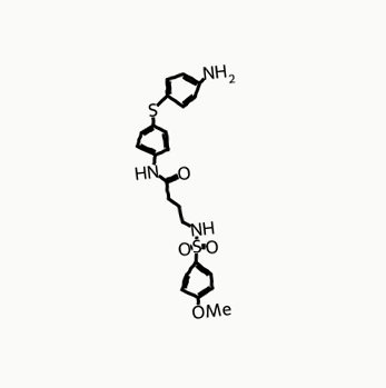 COc1ccc(S(=O)(=O)NCCCC(=O)Nc2ccc(Sc3ccc(N)cc3)cc2)cc1